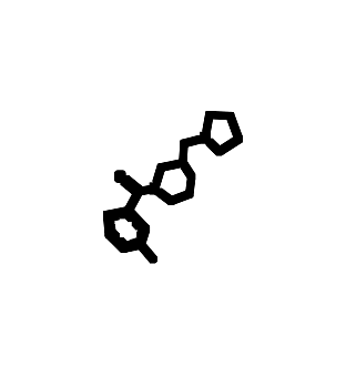 Cc1cccc(C(=O)N2CCCC(CN3CCCC3)C2)c1